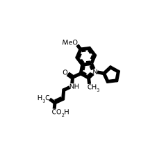 COc1ccc2c(c1)c(C(=O)NCC=C(C)C(=O)O)c(C)n2C1CCCC1